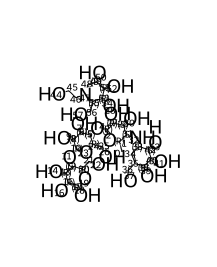 C[C@H]1O[C@H](O[C@H]2[C@H](O)[C@@H](O)[C@@H](O[C@H]3[C@H](O)[C@@H](O)[C@H](O)O[C@@H]3CO)O[C@@H]2CO)[C@H](O)[C@@H](O)[C@@H]1N[C@H]1C=C(CO)[C@H](O)[C@H](O)[C@H]1O.OCCN1C[C@H](O)[C@@H](O)[C@H](O)[C@H]1CO